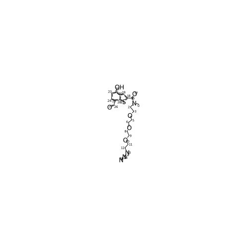 CN(CCOCCOCCOCCN=[N+]=[N-])C(=O)c1cc2c(O)ccc(C=O)c2s1